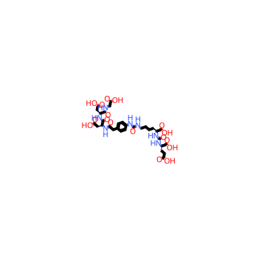 O=C(O)CC[C@H](NC(=O)N[C@@H](CCCCNC(=O)Nc1ccc(CC(=O)N[C@@H](CC(=O)O)C(=O)N[C@@H](CC(=O)O)C(=O)NCC(=O)O)cc1)C(=O)O)C(=O)O